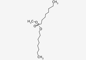 CCCCCCCCOP(=O)(CCCCCCCC)OC